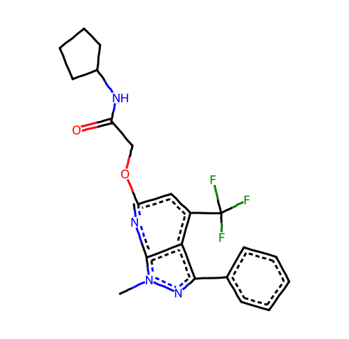 Cn1nc(-c2ccccc2)c2c(C(F)(F)F)cc(OCC(=O)NC3CCCC3)nc21